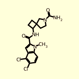 Cn1c(C(=O)NC2CCC23CCN(C(N)=O)C3)cc2c(Cl)c(Cl)ccc21